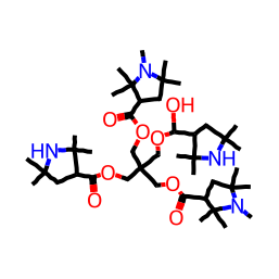 CN1C(C)(C)CC(C(=O)OCC(COC(=O)C2CC(C)(C)NC2(C)C)(COC(=O)C2CC(C)(C)N(C)C2(C)C)COC(O)C2CC(C)(C)NC2(C)C)C1(C)C